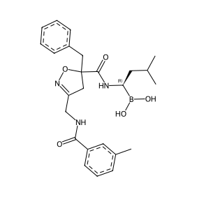 Cc1cccc(C(=O)NCC2=NOC(Cc3ccccc3)(C(=O)N[C@@H](CC(C)C)B(O)O)C2)c1